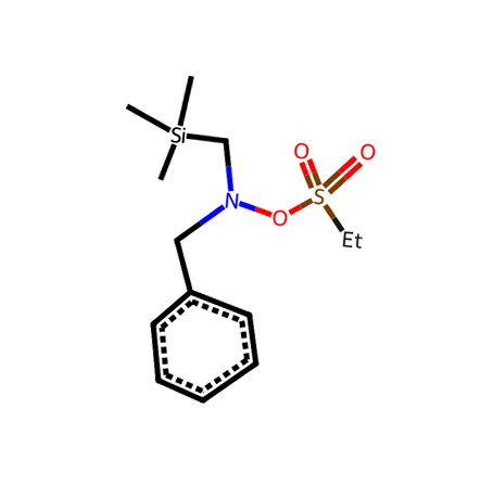 CCS(=O)(=O)ON(Cc1ccccc1)C[Si](C)(C)C